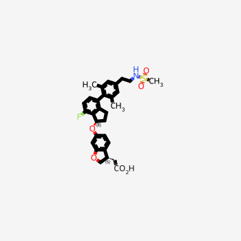 Cc1cc(CCNS(C)(=O)=O)cc(C)c1-c1ccc(F)c2c1CC[C@H]2Oc1ccc2c(c1)OC[C@H]2CC(=O)O